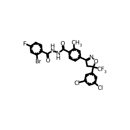 Cc1cc(C2=NOC(c3cc(Cl)cc(Cl)c3)(C(F)(F)F)C2)ccc1C(=O)NNC(=O)c1ccc(F)cc1Br